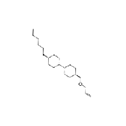 C=CCOC[C@H]1CC[C@H]([C@H]2CC[C@H](CCCCCC)CC2)CC1